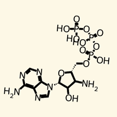 Nc1ncnc2c1ncn2[C@@H]1O[C@H](COP(=O)(O)OP(=O)(O)OP(=O)(O)O)C(N)C1O